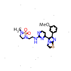 COc1cccc(-c2nc3sccn3c2-c2ccnc(NCCN3CCN(C)S3(=O)=O)n2)c1